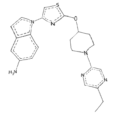 CCc1cnc(N2CCC(Oc3nc(-n4ccc5cc(N)ccc54)cs3)CC2)cn1